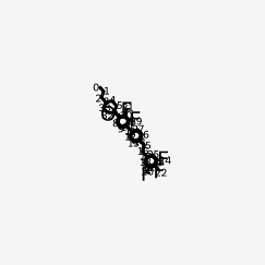 CCCC1CCC(c2ccc(-c3ccc(CCc4cc(F)c(F)c(F)c4)cc3)c(F)c2F)OC1